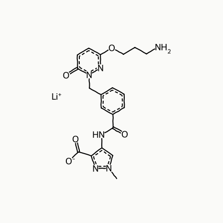 Cn1cc(NC(=O)c2cccc(Cn3nc(OCCCN)ccc3=O)c2)c(C(=O)[O-])n1.[Li+]